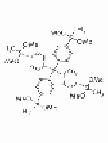 CO[Si](C)(OC)c1ccc(C(c2ccc([Si](C)(OC)OC)cc2)(c2ccc([Si](C)(OC)OC)cc2)c2ccc([Si](C)(OC)OC)cc2)cc1